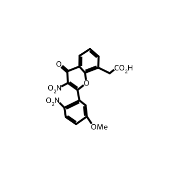 COc1ccc([N+](=O)[O-])c(-c2oc3c(CC(=O)O)cccc3c(=O)c2[N+](=O)[O-])c1